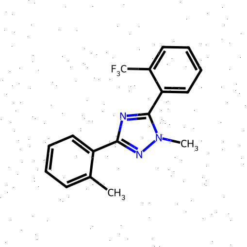 Cc1ccccc1-c1nc(-c2ccccc2C(F)(F)F)n(C)n1